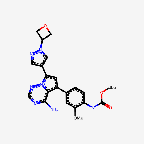 COc1cc(-c2cc(-c3cnn(C4COC4)c3)n3ncnc(N)c23)ccc1NC(=O)OC(C)(C)C